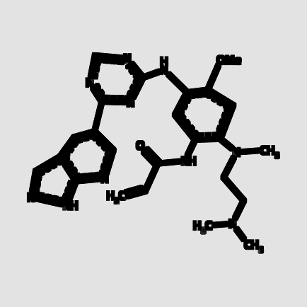 C=CC(=O)Nc1cc(Nc2ncnc(-c3cnc4[nH]ncc4c3)n2)c(OC)cc1N(C)CCN(C)C